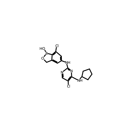 OB1OCc2cc(Nc3ncc(Cl)c(NC4CCCC4)n3)cc(Cl)c21